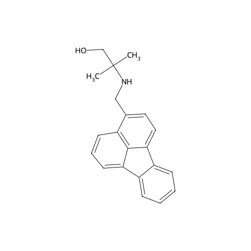 CC(C)(CO)NCc1ccc2c3c(cccc13)-c1ccccc1-2